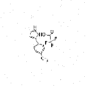 FC(F)(F)c1ccc(C2=CCNC2)cc1.O=C(O)C(F)(F)F